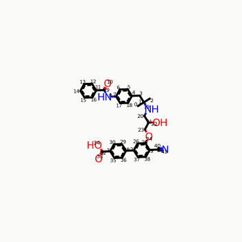 CC(C)(Cc1ccc(NC(=O)c2ccccc2)cc1)NCC(O)COc1cc(-c2ccc(C(=O)O)cc2)ccc1C#N